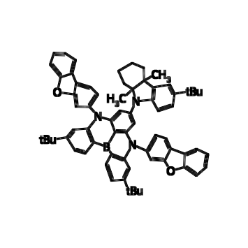 CC(C)(C)c1ccc2c(c1)N(c1ccc3c(c1)oc1ccccc13)c1cc(N3c4ccc(C(C)(C)C)cc4C4(C)CCCCC34C)cc3c1B2c1ccc(C(C)(C)C)cc1N3c1ccc2c(c1)oc1ccccc12